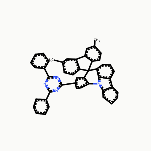 Cc1ccc2c(c1)-c1cc(C)ccc1C21c2cc(-c3nc(-c4ccccc4)nc(-c4ccccc4)n3)ccc2-n2c3ccccc3c3cccc1c32